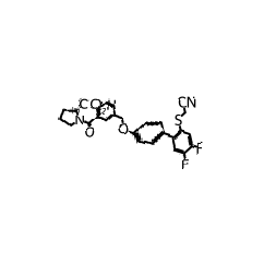 N#CCSc1cc(F)c(F)cc1-c1ccc(OCc2cccc(C(=O)N3CCC[C@H]3C(=O)O)c2)cc1